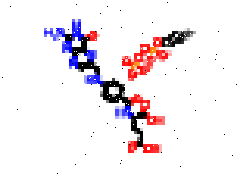 Nc1nc2ncc(CNc3ccc(C(=O)NC(CCC(=O)O)C(=O)O)cc3)nc2c(=O)[nH]1.O=P([O-])([O-])[O-].O=P([O-])([O-])[O-].[Ca+2].[Ca+2].[Ca+2]